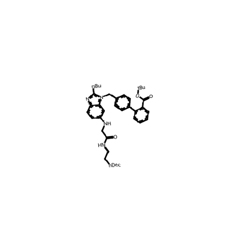 CCCCCCCCCCCCNC(=O)CNc1ccc2nc(CCCC)n(Cc3ccc(-c4ccccc4C(=O)OC(C)(C)C)cc3)c2c1